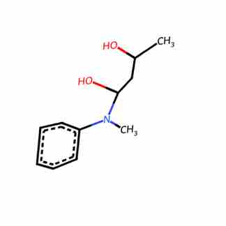 CC(O)CC(O)N(C)c1ccccc1